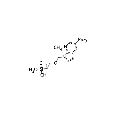 C.C[Si](C)(C)CCOCn1ccc2cc(P=O)cnc21